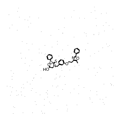 Cc1oc(-c2ccccc2)nc1CCOc1cccc(CN(CC(=O)O)C(=S)Oc2ccccc2)c1